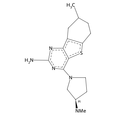 CN[C@@H]1CCN(c2nc(N)nc3c4c(sc23)CCC(C)C4)C1